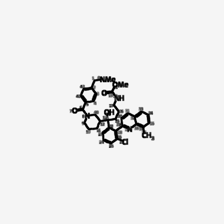 CNCc1ccc(C(=O)N2CCCC([C@@](O)(CCCNC(=O)OC)c3cccc(Cl)c3-c3ccc4cccc(C)c4n3)C2)cc1